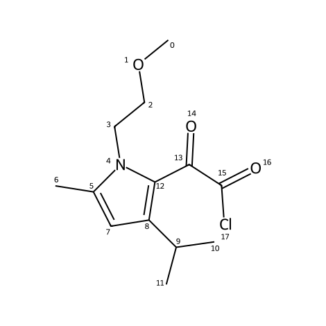 COCCn1c(C)cc(C(C)C)c1C(=O)C(=O)Cl